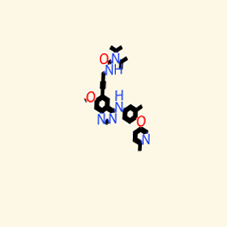 COc1cc2ncnc(Nc3ccc(Oc4ccc(C)nc4)c(C)c3)c2cc1C#CCNC(=O)N(C(C)C)C(C)C